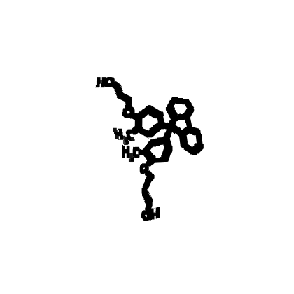 Cc1cc(C2(c3ccc(OCCCO)c(C)c3)c3ccccc3-c3ccccc32)ccc1OCCCO